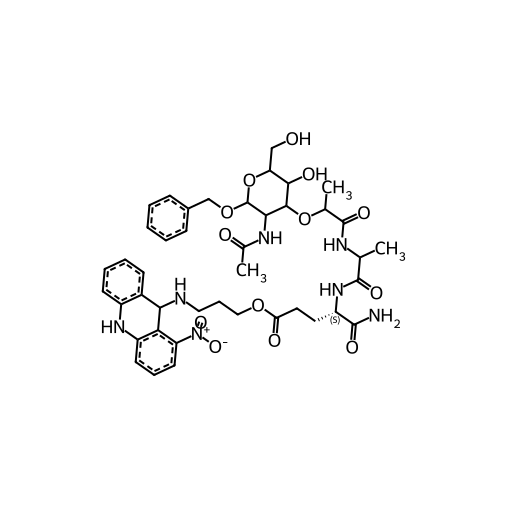 CC(=O)NC1C(OCc2ccccc2)OC(CO)C(O)C1OC(C)C(=O)NC(C)C(=O)N[C@@H](CCC(=O)OCCCNC1c2ccccc2Nc2cccc([N+](=O)[O-])c21)C(N)=O